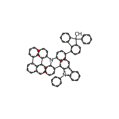 CC1(c2ccccc2)c2ccccc2-c2c(-c3ccc(N(c4ccccc4-c4cccc5cccc(-c6ccccc6)c45)c4ccccc4-c4cccc5c6ccccc6n(-c6ccccc6)c45)cc3)cccc21